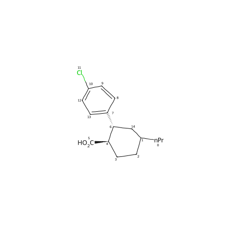 CCCC1CC[C@@H](C(=O)O)[C@H](c2ccc(Cl)cc2)C1